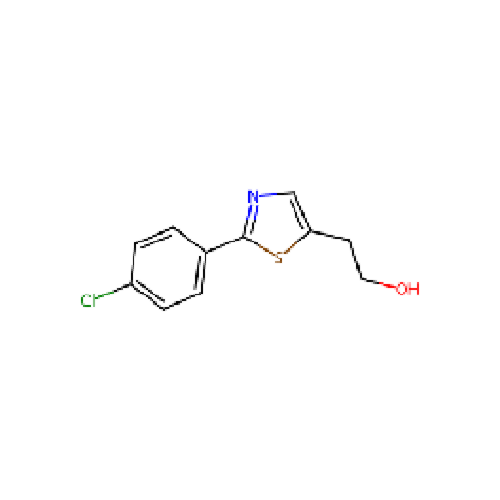 OCCc1cnc(-c2ccc(Cl)cc2)s1